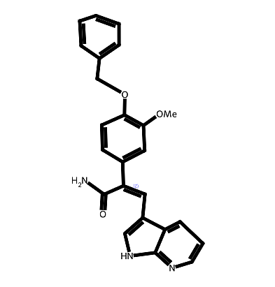 COc1cc(/C(=C/c2c[nH]c3ncccc23)C(N)=O)ccc1OCc1ccccc1